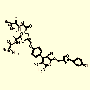 CC[C@H](C)[C@H](N)C(=O)N[C@@H](C)C(=O)OC[C@H](COc1ccc(-c2c(C#N)c(N)nc(SCc3coc(-c4ccc(Cl)cc4)n3)c2C#N)cc1)OC(=O)[C@H](C)NC(=O)[C@@H](N)[C@@H](C)CC